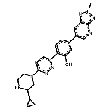 Cn1nc2cc(-c3ccc(-c4cnc(N5CCNC(C6CC6)C5)nn4)c(O)c3)cnc2n1